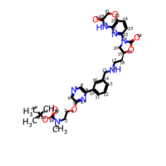 CN(CCOc1cncc(-c2cccc(CNCC[C@H]3CN(c4ccc5c(n4)NC(=O)CO5)C(=O)O3)c2)n1)C(=O)OC(C)(C)C